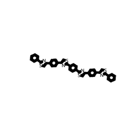 c1ccc(-c2nc(-c3ccc(-c4csc(-c5ccc(-c6nc(-c7ccc(-c8csc(-c9ccccc9)n8)cc7)cs6)cc5)n4)cc3)cs2)cc1